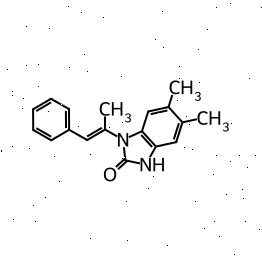 CC(=Cc1ccccc1)n1c(=O)[nH]c2cc(C)c(C)cc21